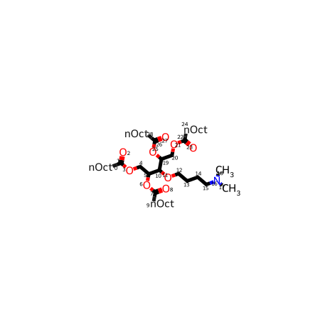 CCCCCCCCC(=O)OCC(OC(=O)CCCCCCCC)C(OCCCCN(C)C)C(COC(=O)CCCCCCCC)OC(=O)CCCCCCCC